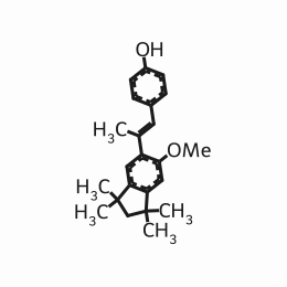 COc1cc2c(cc1C(C)=Cc1ccc(O)cc1)C(C)(C)CC2(C)C